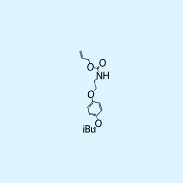 C=CCOC(=O)NCCOc1ccc(OC(C)CC)cc1